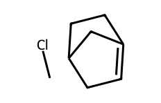 C1=C2CCC(C1)C2.CCl